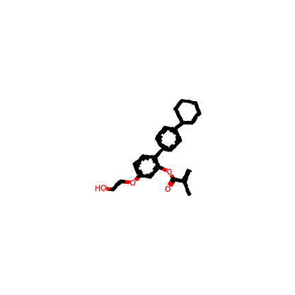 C=C(C)C(=O)Oc1cc(OCCO)ccc1-c1ccc(C2CCCCC2)cc1